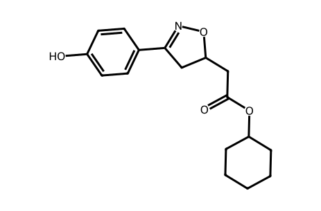 O=C(CC1CC(c2ccc(O)cc2)=NO1)OC1CCCCC1